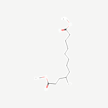 CCCOC(=O)CCCCCCCC(CCC(=O)OCCC)C(C)C